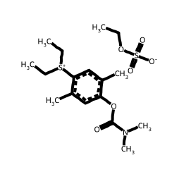 CCOS(=O)(=O)[O-].CC[S+](CC)c1cc(C)c(OC(=O)N(C)C)cc1C